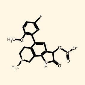 COc1ccc(F)cc1-c1cc2c(c3c1CCN(C)C3)NC(=O)C2O[N+](=O)[O-]